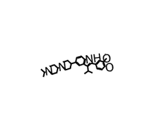 COc1ccc(-c2[nH]c3ccc(C4CCN(C5CCN(C(C)C)CC5)CC4)cc3c2C(C)C)cc1OC